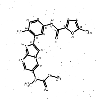 CC(C)OC(=O)N(C)c1cnc2nc(-c3cc(NC(=O)c4ccc(Cl)o4)ccc3F)cn2c1